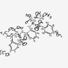 CC[C@@H]1c2cc(OC)ccc2S(=O)(=O)N(Cc2ccccc2CN([C@H](C(=O)O)[C@@H](C)CC)S(=O)(=O)c2ccc(OC)cc2)[C@@H]1C(=O)O